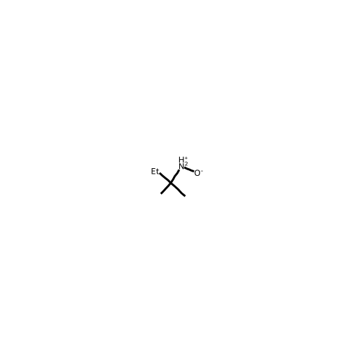 CCC(C)(C)[NH2+][O-]